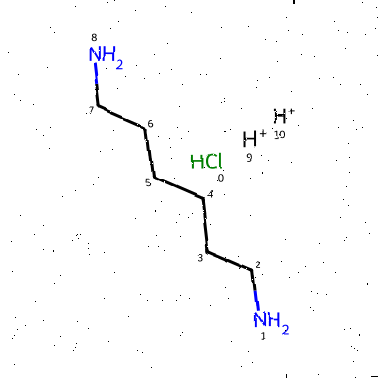 Cl.NCCCCCCN.[H+].[H+]